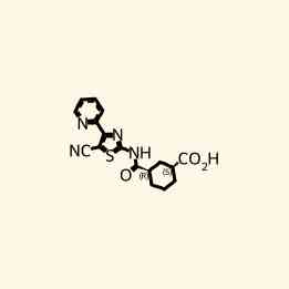 N#Cc1sc(NC(=O)[C@@H]2CCC[C@H](C(=O)O)C2)nc1-c1ccccn1